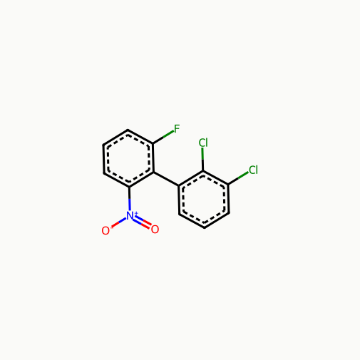 O=[N+]([O-])c1cccc(F)c1-c1cccc(Cl)c1Cl